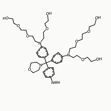 CNc1ccc(C(c2ccc(N(CCOCCO)CCOCCOCCO)cc2)(c2ccc(N(CCOCCO)CCOCCOCCO)cc2)N2CCOCC2)cc1